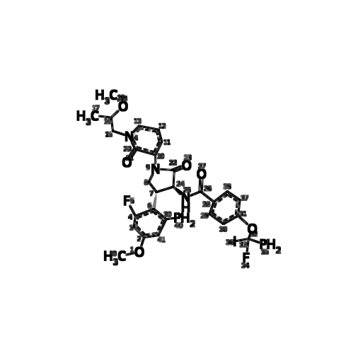 COc1cc(F)c([C@@H]2CN(c3cccn(CC(C)OC)c3=O)C(=O)[C@H]2NC(=O)c2ccc(OC(F)(P)I)cc2)c(P)c1